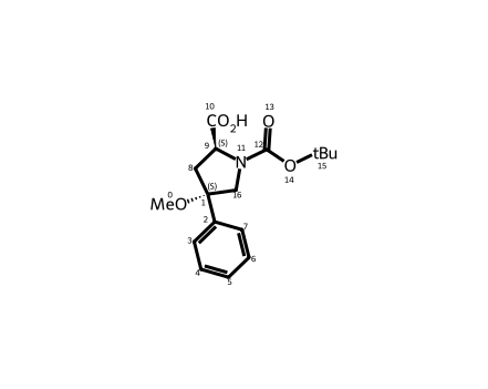 CO[C@]1(c2ccccc2)C[C@@H](C(=O)O)N(C(=O)OC(C)(C)C)C1